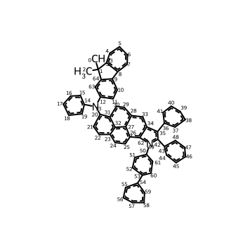 CC1(C)c2ccccc2-c2ccc(N(c3ccccc3)c3ccc4ccc5c6c(ccc3c46)cc3c(-c4ccccc4)c(-c4ccccc4)n(-c4ccc(-c6ccccc6)cc4)c35)cc21